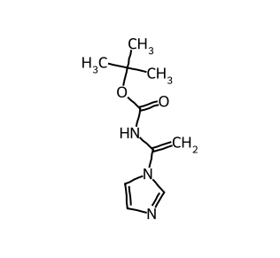 C=C(NC(=O)OC(C)(C)C)n1ccnc1